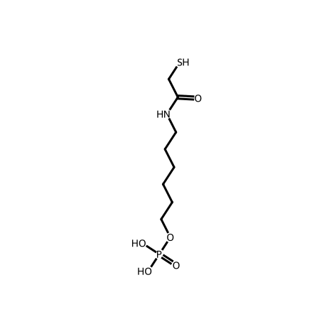 O=C(CS)NCCCCCCOP(=O)(O)O